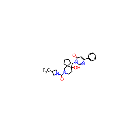 O=C(N1CC(C(F)(F)F)C1)N1CCC(O)(Cn2cnc(-c3ccccc3)cc2=O)C2(CCCC2)C1